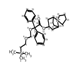 C[Si](C)(C)CCOCOC(C(=O)OC1CC2CCC(C1)[N+]21CCCC1)(c1ccccc1)c1ccccc1